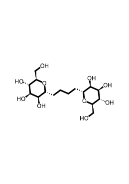 OC[C@H]1O[C@H](CCCC[C@H]2O[C@H](CO)[C@@H](O)[C@H](O)[C@@H]2O)[C@@H](O)[C@@H](O)[C@@H]1O